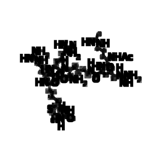 CC(=N)NCCC[C@H](NC(C)=O)C(=O)N[C@@H](CCCNC(=N)N)C(=O)NCCCC[C@H](NC(=O)[C@H](CCCNC(=N)N)NC(=O)[C@H](CCCNC(=N)N)NC(=O)CCCC[C@@H]1SC[C@@H]2NC(=O)N[C@@H]21)C(N)=O